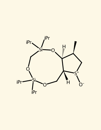 CC(C)[Si]1(C(C)C)CO[Si](C(C)C)(C(C)C)OC[C@@H]2[C@@H](O1)[C@@H](C)C[S+]2[O-]